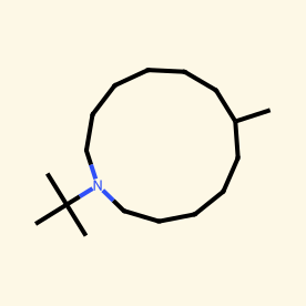 CC1CCCCCCN(C(C)(C)C)CCCCC1